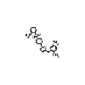 Cc1ccc(C)c(Cc2csc(N3CCC(S(=O)(=O)c4ccccc4C(F)(F)F)CC3)n2)c1